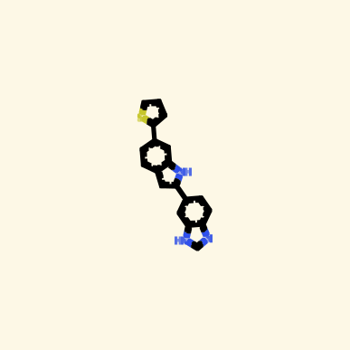 c1csc(-c2ccc3cc(-c4ccc5nc[nH]c5c4)[nH]c3c2)c1